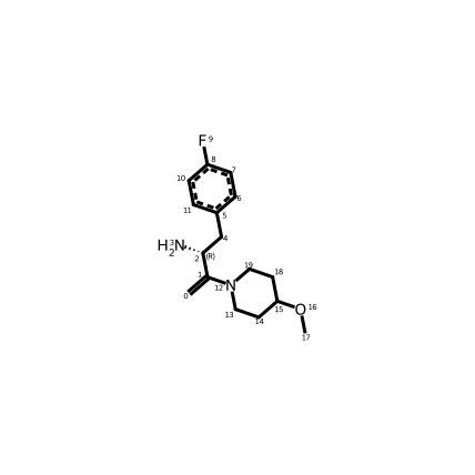 C=C([C@H](N)Cc1ccc(F)cc1)N1CCC(OC)CC1